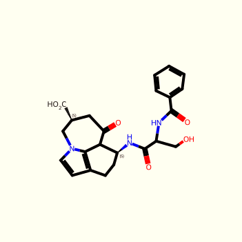 O=C(NC(CO)C(=O)N[C@H]1CCc2ccn3c2C1C(=O)C[C@H](C(=O)O)C3)c1ccccc1